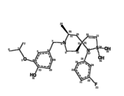 CC(C)Oc1cc(CN2CC[C@]3(C=CS(O)(O)N3c3cccc(F)c3)C[C@@H]2C)ccc1O